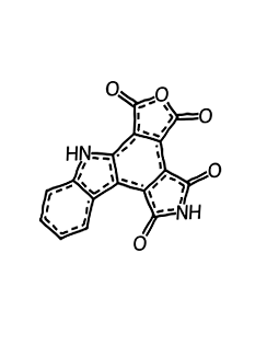 O=c1oc(=O)c2c1c1[nH]c3ccccc3c1c1c(=O)[nH]c(=O)c21